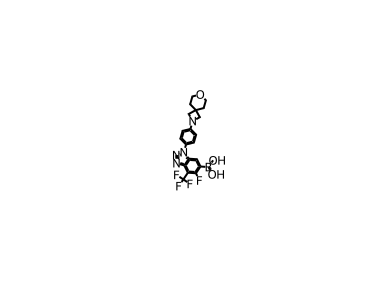 OB(O)c1cc2c(nnn2-c2ccc(N3CC4(CCOCC4)C3)cc2)c(C(F)(F)F)c1F